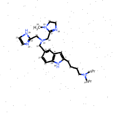 CCCN(CCC)CCCCc1cc2cc(CN(CC3=NCCN3C)Cc3ncc[nH]3)ccc2[nH]1